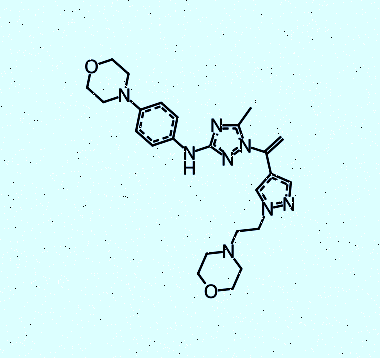 C=C(c1cnn(CCN2CCOCC2)c1)n1nc(Nc2ccc(N3CCOCC3)cc2)nc1C